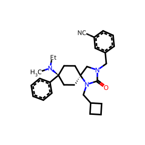 CCN(C)[C@]1(c2ccccc2)CC[C@]2(CC1)CN(Cc1cccc(C#N)c1)C(=O)N2CC1CCC1